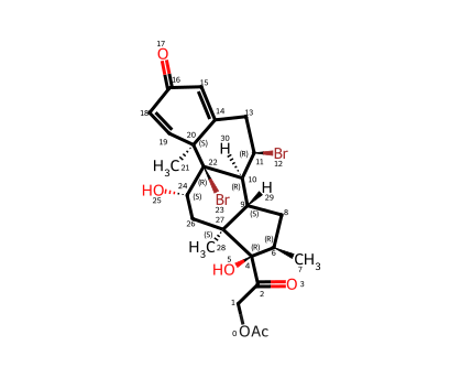 CC(=O)OCC(=O)[C@@]1(O)[C@H](C)C[C@H]2[C@@H]3[C@H](Br)CC4=CC(=O)C=C[C@]4(C)[C@@]3(Br)[C@@H](O)C[C@@]21C